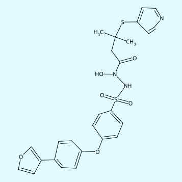 CC(C)(CC(=O)N(O)NS(=O)(=O)c1ccc(Oc2ccc(-c3ccoc3)cc2)cc1)Sc1ccncc1